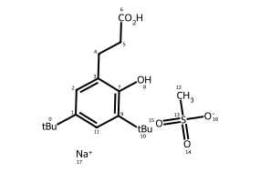 CC(C)(C)c1cc(CCC(=O)O)c(O)c(C(C)(C)C)c1.CS(=O)(=O)[O-].[Na+]